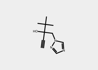 C#CC(O)(Cn1cncn1)C(C)(C)C